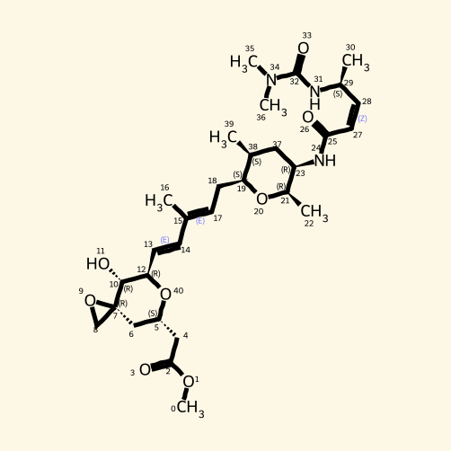 COC(=O)C[C@@H]1C[C@@]2(CO2)[C@H](O)[C@@H](/C=C/C(C)=C/C[C@@H]2O[C@H](C)[C@H](NC(=O)/C=C\[C@H](C)NC(=O)N(C)C)C[C@@H]2C)O1